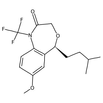 COc1ccc2c(c1)[C@H](CCC(C)C)OCC(=O)N2C(F)(F)F